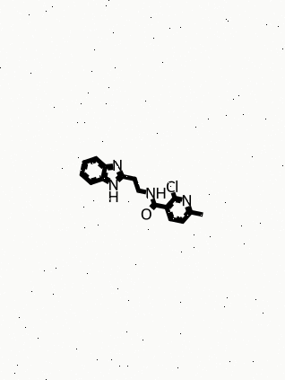 Cc1ccc(C(=O)NCCc2nc3ccccc3[nH]2)c(Cl)n1